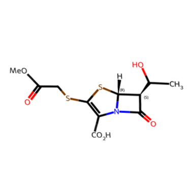 COC(=O)CSC1=C(C(=O)O)N2C(=O)[C@H](C(C)O)[C@H]2S1